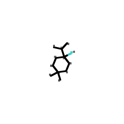 CC(C)C1(F)CCC(C)(C)CC1